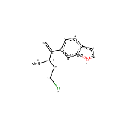 C=C(c1ccc2ccoc2c1)C(CCCl)NC